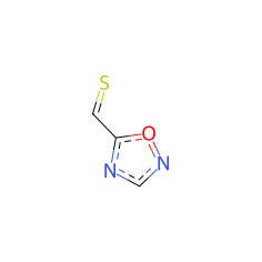 S=Cc1ncno1